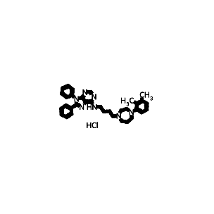 Cc1cccc(N2CCCN(CCCCNc3ncnc4c3nc(-c3ccccc3)n4-c3ccccc3)CC2)c1C.Cl